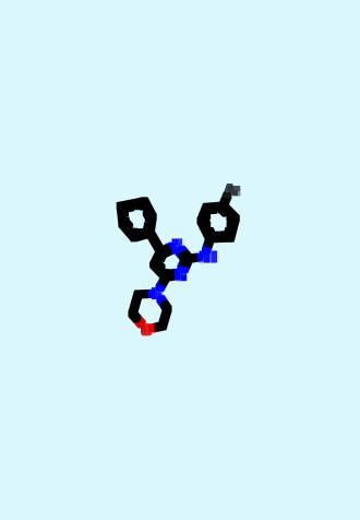 CC(=O)c1ccc(Nc2nc(-c3ccccc3)cc(N3CCOCC3)n2)cc1